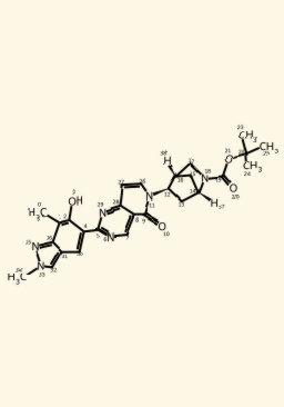 Cc1c(O)c(-c2ncc3c(=O)n([C@@H]4C[C@@H]5C[C@H]4CN5C(=O)OC(C)(C)C)ccc3n2)cc2cn(C)nc12